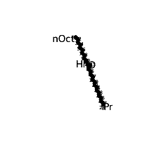 CCCCCCCC/C=C\CCCCCCCCNC(=O)CCCCCCCCCCCCCCC(C)C